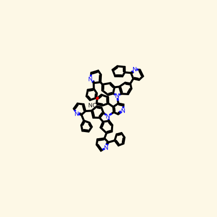 N#Cc1cccc(-c2c(-n3c4ccc(-c5cccnc5-c5ccccc5)cc4c4cc(-c5cccnc5-c5ccccc5)ccc43)cncc2-n2c3ccc(-c4cccnc4-c4ccccc4)cc3c3cc(-c4cccnc4-c4ccccc4)ccc32)c1